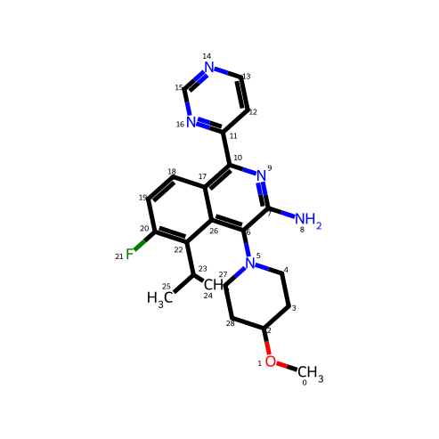 COC1CCN(c2c(N)nc(-c3ccncn3)c3ccc(F)c(C(C)C)c23)CC1